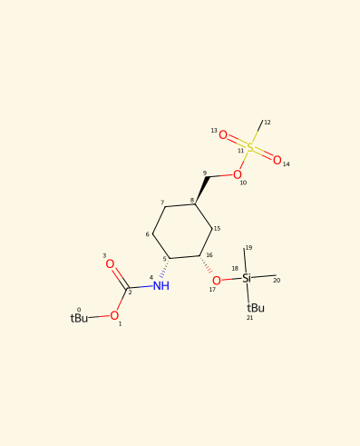 CC(C)(C)OC(=O)N[C@@H]1CC[C@@H](COS(C)(=O)=O)C[C@@H]1O[Si](C)(C)C(C)(C)C